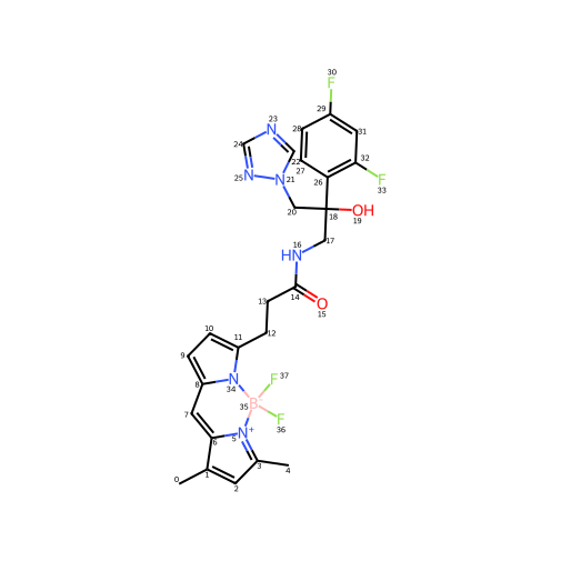 CC1=CC(C)=[N+]2C1=Cc1ccc(CCC(=O)NCC(O)(Cn3cncn3)c3ccc(F)cc3F)n1[B-]2(F)F